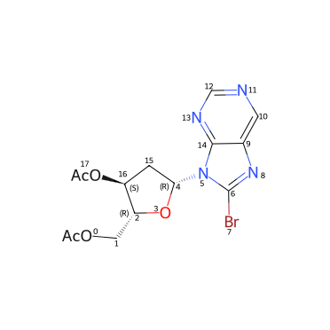 CC(=O)OC[C@H]1O[C@@H](n2c(Br)nc3cncnc32)C[C@@H]1OC(C)=O